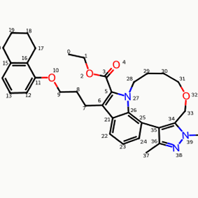 CCOC(=O)c1c(CCCOc2cccc3c2CCCC3)c2cccc3c2n1CCCCOCc1c-3c(C)nn1C